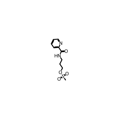 CS(=O)(=O)OCCCNC(=O)c1ccccn1